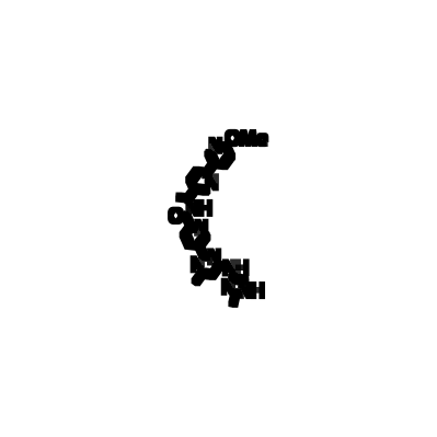 COc1ccc(-c2ccc(C(C)NC(=O)c3ccc(-c4nc(C)cc(Nc5c[nH]c(C)n5)n4)cn3)cn2)cn1